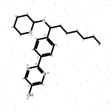 CCCCCCC(OC1CCCCO1)c1ccc(-c2ncc(O)cn2)cc1